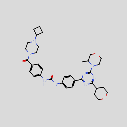 CC1COCCN1c1nc(-c2ccc(NC(=O)Nc3ccc(C(=O)N4CCN(C5CCC5)CC4)cc3)cc2)nc(C2CCOCC2)n1